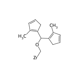 CC1=C(C(O[CH2][Zr])C2=C(C)C=CC2)CC=C1